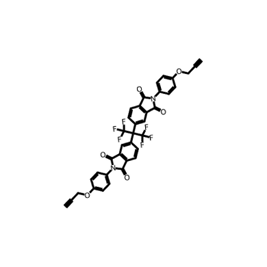 C#CCOc1ccc(N2C(=O)c3ccc(C(c4ccc5c(c4)C(=O)N(c4ccc(OCC#C)cc4)C5=O)(C(F)(F)F)C(F)(F)F)cc3C2=O)cc1